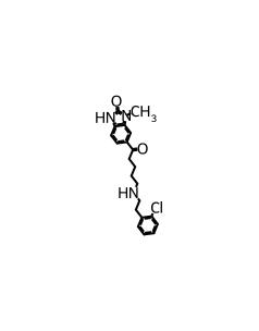 Cn1c(=O)[nH]c2ccc(C(=O)CCCCNCCc3ccccc3Cl)cc21